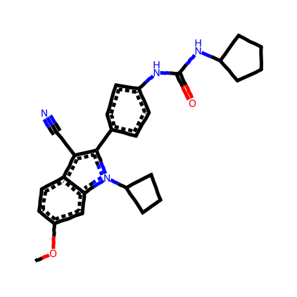 COc1ccc2c(C#N)c(-c3ccc(NC(=O)NC4CCCC4)cc3)n(C3CCC3)c2c1